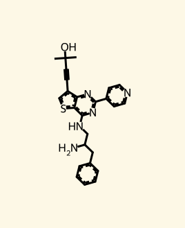 CC(C)(O)C#Cc1csc2c(NCC(N)Cc3ccccc3)nc(-c3ccncc3)nc12